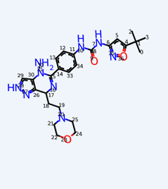 CC(C)(C)c1cc(NC(=O)Nc2ccc(C3=NC(CCN4CCOCC4)c4n[nH]cc4N3N)cc2)no1